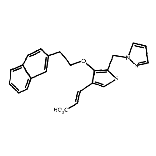 O=C(O)C=Cc1csc(Cn2cccn2)c1OCCc1ccc2ccccc2c1